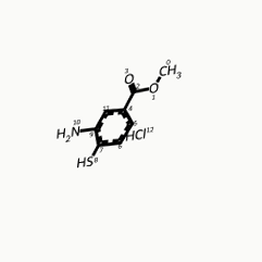 COC(=O)c1ccc(S)c(N)c1.Cl